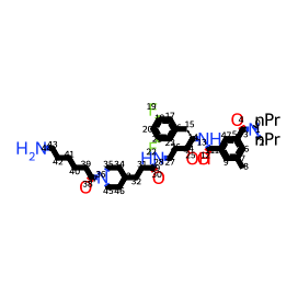 CCCN(CCC)C(=O)c1cc(C)cc(C(=O)N[C@@H](Cc2cc(F)cc(F)c2)[C@H](O)CCNC(=O)CCC2CCN(C(=O)CCCCCN)CC2)c1